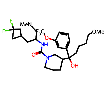 CNCC(CC1CC(F)(F)C1)NC(=O)N1CCCC(C(O)(CCCCOC)c2cccc(OC(F)(F)F)c2)C1